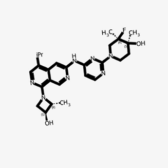 CC(C)c1cnc(N2C[C@H](O)[C@H]2C)c2cnc(Nc3ccnc(N4CC[C@](C)(O)[C@](C)(F)C4)n3)cc12